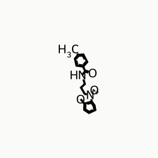 Cc1ccc(C(=O)NCCC2Oc3ccccc3[N+]2=O)cc1